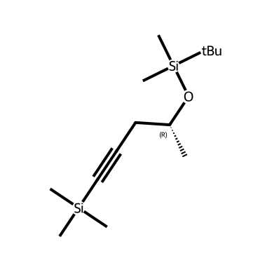 C[C@H](CC#C[Si](C)(C)C)O[Si](C)(C)C(C)(C)C